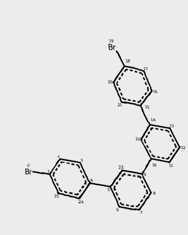 Brc1ccc(-c2cccc(-c3cccc(-c4ccc(Br)cc4)c3)c2)cc1